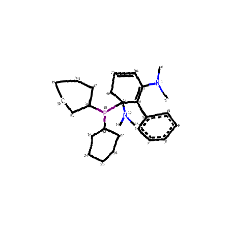 CN(C)C1=C(c2ccccc2)C(N(C)C)(P(C2CCCCC2)C2CCCCC2)CC=C1